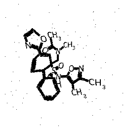 CC(=O)N(C)CC1(S(=O)(=O)Nc2onc(C)c2C)C=C(c2ncco2)C=CC1c1ccccc1